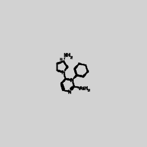 N[C@H]1CCN(C2C=CN=C([AsH2])N2C2CCCCC2)C1